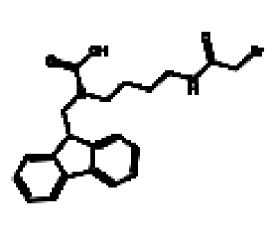 O=C(CBr)NCCCCN(CC1c2ccccc2-c2ccccc21)C(=O)O